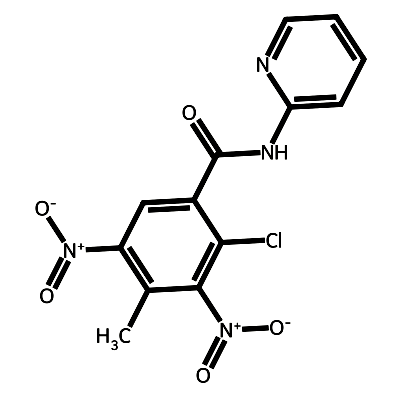 Cc1c([N+](=O)[O-])cc(C(=O)Nc2ccccn2)c(Cl)c1[N+](=O)[O-]